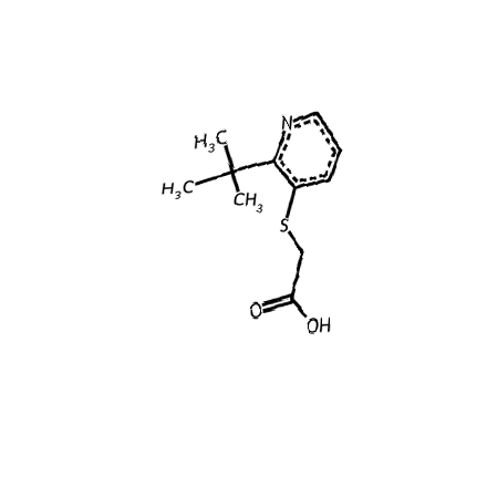 CC(C)(C)c1ncccc1SCC(=O)O